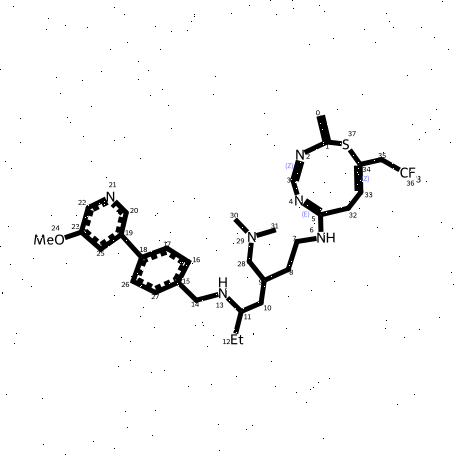 C=C1/N=C\N=C(\NCCC(CC(CC)NCc2ccc(-c3cncc(OC)c3)cc2)CN(C)C)C/C=C(/CC(F)(F)F)S1